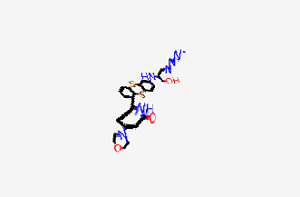 [N-]=[N+]=NCC(CO)Nc1ccc2c(c1)Sc1cccc(-c3cc(N4CCOCC4)cc(=O)[nH]3)c1S2